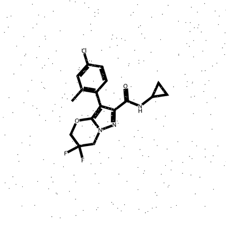 Cc1cc(Cl)ccc1-c1c(C(=O)NC2CC2)nn2c1OCC(F)(F)C2